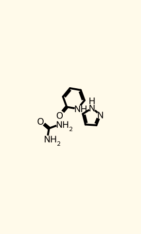 NC(N)=O.O=c1cccc[nH]1.c1cn[nH]c1